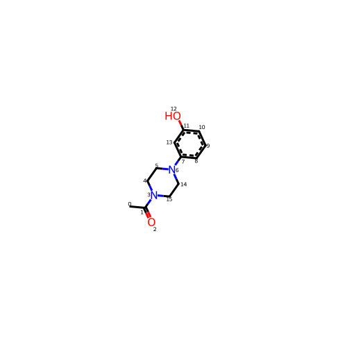 CC(=O)N1CCN(c2cccc(O)c2)CC1